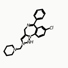 Clc1ccc2c(c1)C(c1ccccc1)=NCC1=CN(CN3CCCCC3)NN12